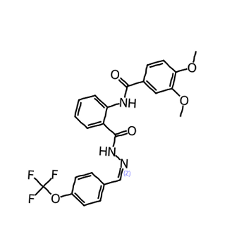 COc1ccc(C(=O)Nc2ccccc2C(=O)N/N=C\c2ccc(OC(F)(F)F)cc2)cc1OC